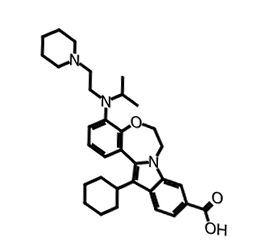 CC(C)N(CCN1CCCCC1)c1cccc2c1OCCn1c-2c(C2CCCCC2)c2ccc(C(=O)O)cc21